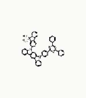 CC1(C)c2ccccc2-c2ccc(-n3c4ccccc4c4cc5c6ccccc6n(-c6ccc(-c7nc(-c8ccccc8)nc(C8C=CC=CC8)n7)cc6)c5cc43)cc21